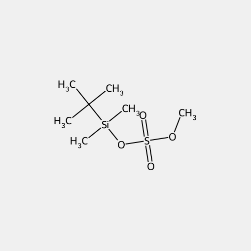 COS(=O)(=O)O[Si](C)(C)C(C)(C)C